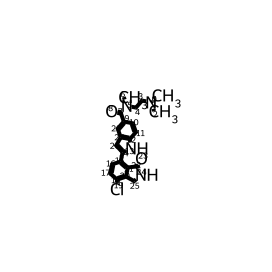 CN(C)CCN(C)C(=O)c1ccc2[nH]c(-c3ccc(Cl)c4c3C(=O)NC4)cc2c1